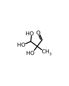 CC(O)(C=O)C(O)O